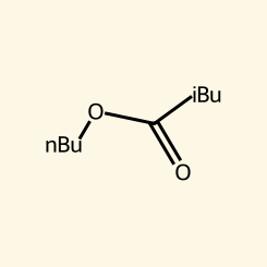 CCCCOC(=O)C(C)CC